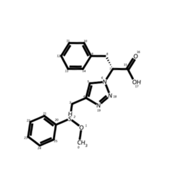 CO[SH](Cc1cn([C@H](Cc2ccccc2)C(=O)O)nn1)c1ccccc1